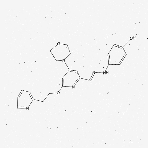 Oc1ccc(NN=Cc2cc(N3CCOCC3)cc(OCCc3ccccn3)n2)cc1